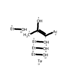 CC(=O)/C=C(/C)O.CCO.CCO.CCO.CCO.[Ta]